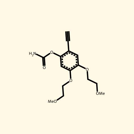 C#Cc1cc(OCCOC)c(OCCOC)cc1OC(N)=O